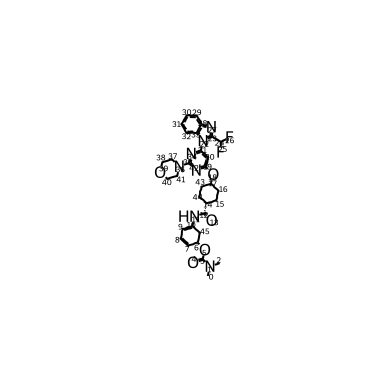 CN(C)C(=O)OC1C=CC=C(NC(=O)[C@H]2CC[C@H](Oc3cc(-n4c(C(F)F)nc5ccccc54)nc(N4CCOCC4)n3)CC2)C1